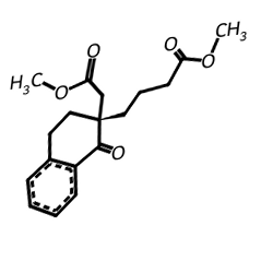 COC(=O)CCC[C@]1(CC(=O)OC)CCc2ccccc2C1=O